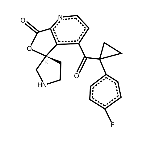 O=C1O[C@]2(CCNC2)c2c(C(=O)C3(c4ccc(F)cc4)CC3)ccnc21